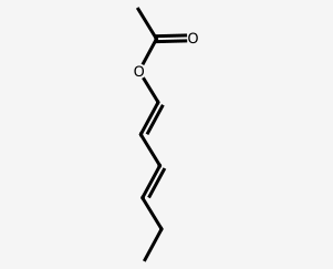 CC/C=C/C=C/OC(C)=O